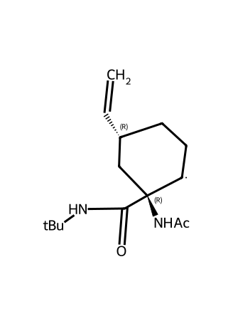 C=C[C@@H]1CC[CH][C@](NC(C)=O)(C(=O)NC(C)(C)C)C1